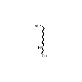 CCCCCCCCCCCC=CNCCO